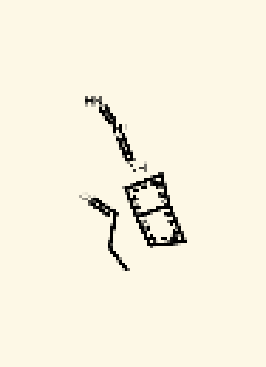 CCC=O.N=[N+]=N.c1cc2ccc1-2